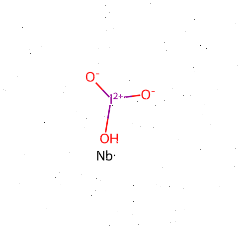 [Nb].[O-][I+2]([O-])O